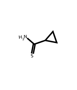 NC(=S)[C]1CC1